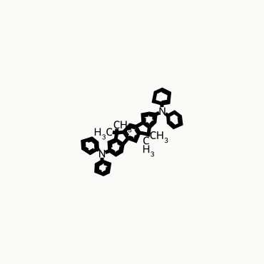 CC1(C)c2cc(N(c3ccccc3)c3ccccc3)ccc2-c2cc3c(cc21)-c1ccc(N(C2=CC=CCC2)C2C=CC=CC2)cc1C3(C)C